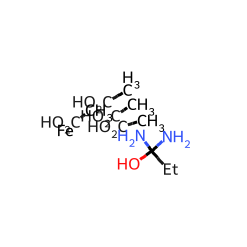 CC(=O)O.CC(=O)O.CC(=O)O.CC(=O)O.CCC(N)(N)O.[Fe]